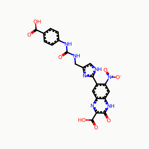 O=C(NCc1c[nH]c(-c2cc3nc(C(=O)O)c(=O)[nH]c3cc2[N+](=O)[O-])n1)Nc1ccc(C(=O)O)cc1